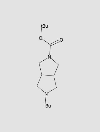 CCC(C)N1CC2CN(C(=O)OC(C)(C)C)CC2C1